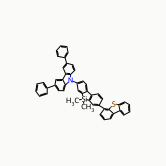 C[Si]1(C)c2cc(-c3cccc4c3sc3ccccc34)ccc2-c2ccc(-n3c4ccc(-c5ccccc5)cc4c4cc(-c5ccccc5)ccc43)cc21